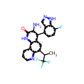 CC(c1cc2c(-c3ccc(F)c4[nH]ncc34)c(N)c(=O)[nH]c2c2cccnc12)C(F)(F)F